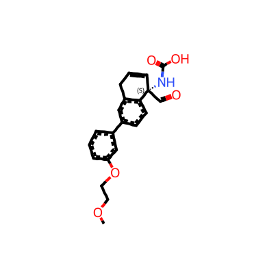 COCCOc1cccc(-c2ccc3c(c2)CC=C[C@]3(C=O)NC(=O)O)c1